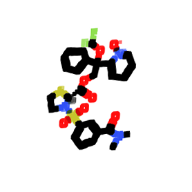 CN(C)C(=O)c1cccc(S(=O)(=O)N2CCS[C@@H]2C(=O)OCC(OC(F)F)(c2ccccc2)c2cccc[n+]2[O-])c1